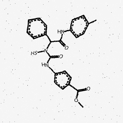 COC(=O)c1ccc(NC(=O)N(S)C(C(=O)Nc2ccc(C)cc2)c2ccccc2)cc1